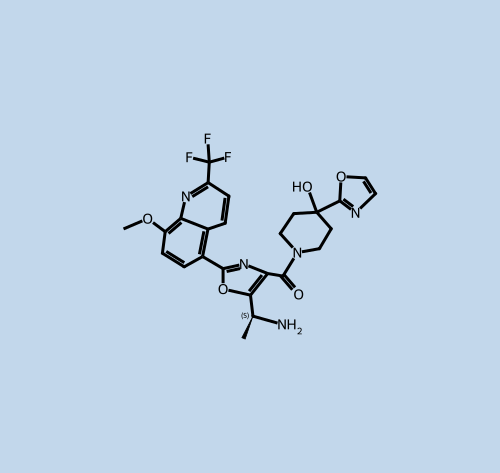 COc1ccc(-c2nc(C(=O)N3CCC(O)(c4ncco4)CC3)c([C@H](C)N)o2)c2ccc(C(F)(F)F)nc12